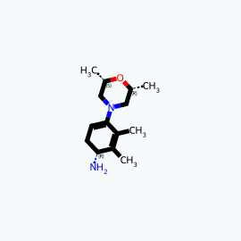 CC1=C(C)[C@H](N)CC=C1N1C[C@@H](C)O[C@@H](C)C1